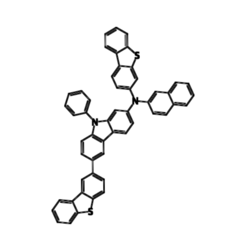 c1ccc(-n2c3ccc(-c4ccc5sc6ccccc6c5c4)cc3c3ccc(N(c4ccc5ccccc5c4)c4ccc5c(c4)sc4ccccc45)cc32)cc1